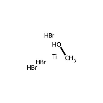 Br.Br.Br.CO.[Ti]